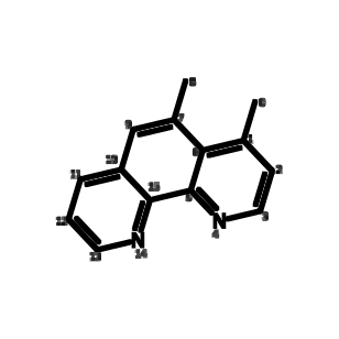 Cc1ccnc2c1c(C)cc1cccnc12